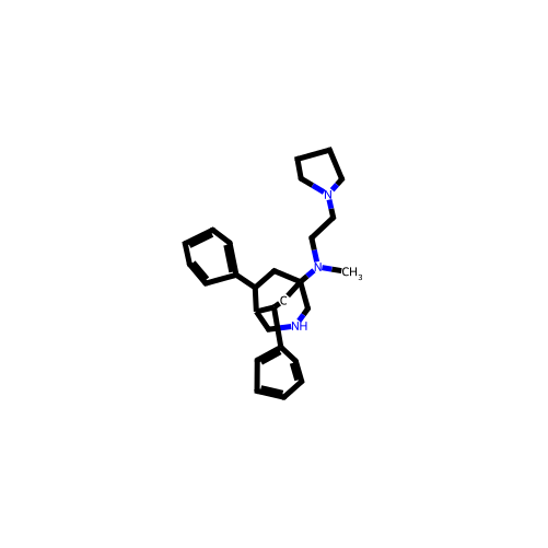 CN(CCN1CCCC1)C12CNCC(C(c3ccccc3)C1)C(c1ccccc1)C2